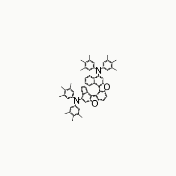 Cc1cc(N(c2cc(C)c(C)c(C)c2)c2cc3oc4ccc5oc6cc(N(c7cc(C)c(C)c(C)c7)c7cc(C)c(C)c(C)c7)c7ccccc7c6c5c4c3c3ccccc23)cc(C)c1C